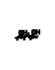 [CH2]C(O)CCC[C](C)O